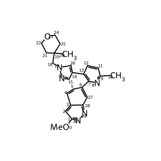 COc1cc2ccc(-c3nc(C)ccc3-c3cnn(CC4(C)CCOCC4)c3)cc2nn1